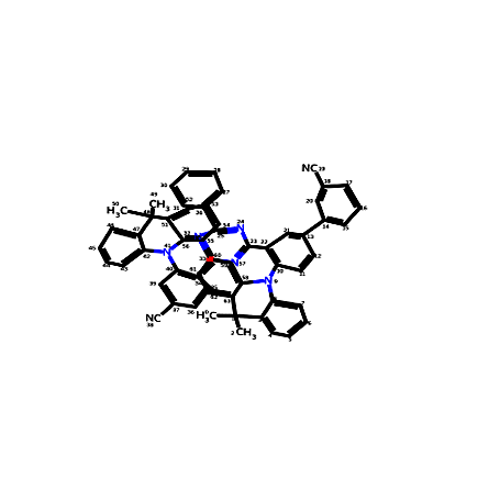 CC1(C)c2ccccc2N(c2ccc(-c3cccc(C#N)c3)cc2-c2nc(-c3ccccc3)nc(-c3ccc(C#N)cc3N3c4ccccc4C(C)(C)c4ccccc43)n2)c2ccccc21